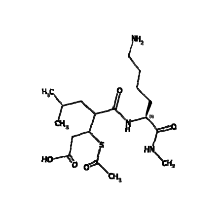 CNC(=O)[C@H](CCCCN)NC(=O)C(CC(C)C)C(CC(=O)O)SC(C)=O